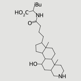 CCC(C)C(NC(=O)CCCC1CCC2C3C(O)CC4CNCCC4(C)C3CCC12C)C(=O)O